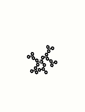 c1ccc(-c2cc(-c3ccccc3)cc(-c3cccc(-c4cc(-c5cccc(-n6c7ccc(-c8ccc9c(c8)c8ccccc8n9-c8ccccc8)cc7c7cc(-c8ccc9c(c8)c8ccccc8n9-c8ccccc8)ccc76)c5)nc(-n5c6ccc(-c7ccc8c(c7)c7ccccc7n8-c7ccccc7)cc6c6cc(-c7ccc8c(c7)c7ccccc7n8-c7ccccc7)ccc65)n4)c3)c2)cc1